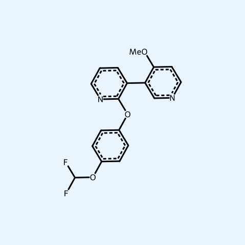 COc1ccncc1-c1cccnc1Oc1ccc(OC(F)F)cc1